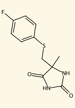 CC1(CSc2ccc(F)cc2)NC(=O)NC1=O